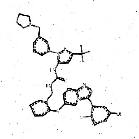 CC(C)(C)c1cc(NC(=O)NCc2ccccc2Sc2ccc3nnc(-c4cc(O)ccc4Cl)n3c2)n(-c2cccc(CN3CCCC3)c2)n1